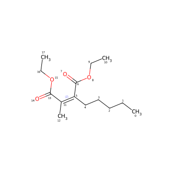 CCCCC/C(C(=O)OCC)=C(\C)C(=O)OCC